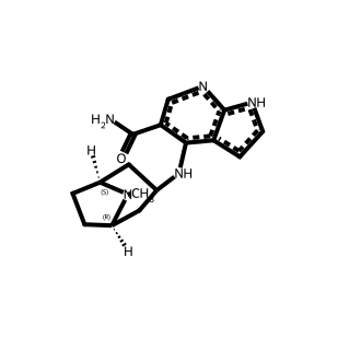 CN1[C@@H]2CC[C@H]1CC(Nc1c(C(N)=O)cnc3[nH]ccc13)C2